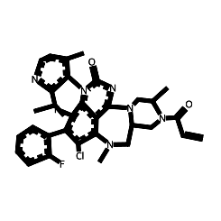 C=CC(=O)N1CC2CN(C)c3c(Cl)c(-c4ccccc4F)c(F)c4c3c(nc(=O)n4-c3c(C)ccnc3C(C)C)N2CC1C